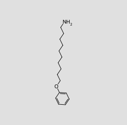 NCCCCCCCCCCOc1ccccc1